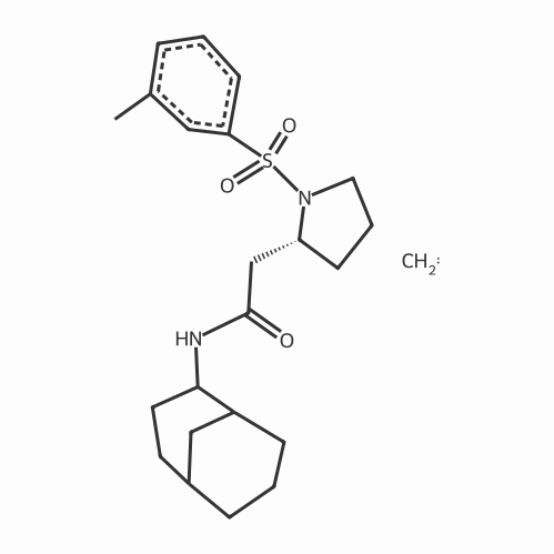 Cc1cccc(S(=O)(=O)N2CCC[C@@H]2CC(=O)NC2CCC3CCCC2C3)c1.[CH2]